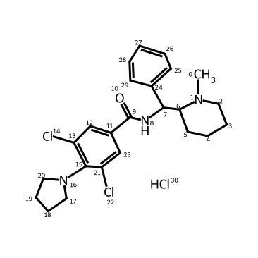 CN1CCCCC1C(NC(=O)c1cc(Cl)c(N2CCCC2)c(Cl)c1)c1ccccc1.Cl